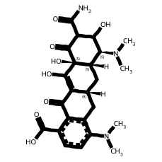 CN(C)c1ccc(C(=O)O)c2c1C[C@H]1C[C@H]3[C@H](N(C)C)C(O)C(C(N)=O)C(=O)[C@@]3(O)C(O)=C1C2=O